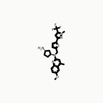 COc1ccc2nc(N(Cc3ccc(-c4cc(C(F)(F)F)n(C)n4)s3)[C@H]3CC[C@H](N)C3)cc(C)c2c1